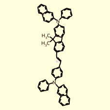 CC1(C)c2cc(/C=C/c3ccc(N(c4ccccc4)c4ccc5ccccc5c4)cc3)ccc2-c2ccc(N(c3ccccc3)c3ccc4ccccc4c3)cc21